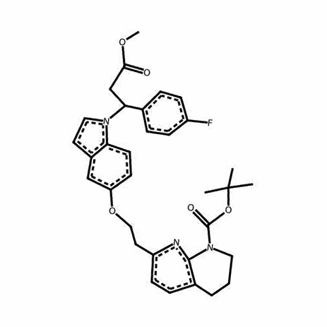 COC(=O)CC(c1ccc(F)cc1)n1ccc2cc(OCCc3ccc4c(n3)N(C(=O)OC(C)(C)C)CCC4)ccc21